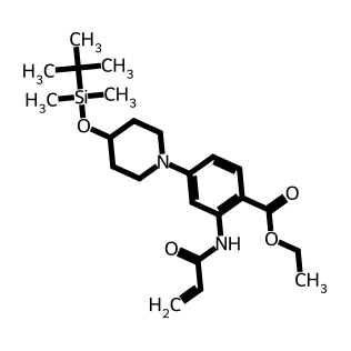 C=CC(=O)Nc1cc(N2CCC(O[Si](C)(C)C(C)(C)C)CC2)ccc1C(=O)OCC